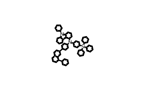 c1ccc(-c2cccc3ccc(-c4ccc(N(c5ccc([Si](c6ccccc6)(c6ccccc6)c6ccccc6)cc5)c5cccc6c5c5ccccc5n6-c5ccccc5)cc4)cc23)cc1